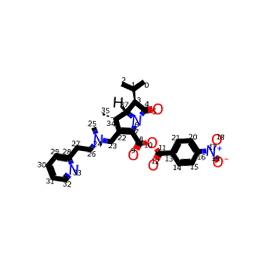 CC(C)[C@H]1C(=O)N2C(C(=O)OC(=O)c3ccc([N+](=O)[O-])cc3)=C(CN(C)CCc3ccccn3)[C@H](C)[C@H]12